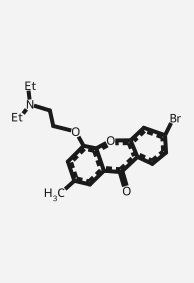 CCN(CC)CCOc1cc(C)cc2c(=O)c3ccc(Br)cc3oc12